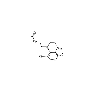 CC(=O)NCCC1CCc2coc3ccc(Cl)c1c23